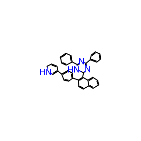 C1=CC(c2ccc(-c3ccc4ccccc4c3C3N=C(c4ccccc4)N=C(c4ccccc4)N3)cc2)=CNC1